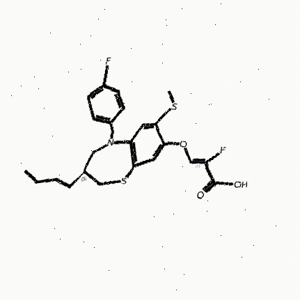 CCCC[C@@H]1CSc2cc(O/C=C(\F)C(=O)O)c(SC)cc2N(c2ccc(F)cc2)C1